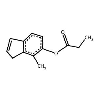 CCC(=O)Oc1ccc2c(c1C)CC=C2